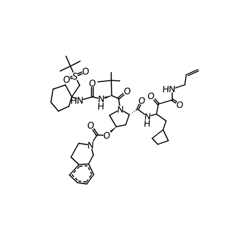 C=CCNC(=O)C(=O)C(CC1CCC1)NC(=O)[C@@H]1C[C@@H](OC(=O)N2CCc3ccccc3C2)CN1C(=O)[C@@H](NC(=O)NC1(CS(=O)(=O)C(C)(C)C)CCCCC1)C(C)(C)C